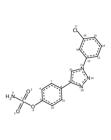 NS(=O)(=O)Oc1ccc(-c2cn(-c3cccc(Cl)c3)nn2)cc1